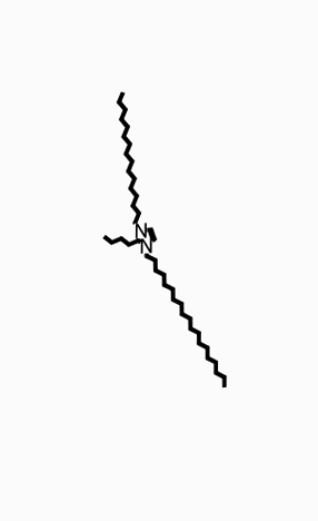 CCCCCCCCCCCCCCCCCCCN1C=CN(CCCCCCCCCCCCCCCC)C1CCCC